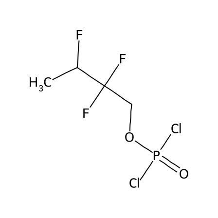 CC(F)C(F)(F)COP(=O)(Cl)Cl